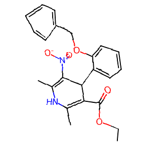 CCOC(=O)C1=C(C)NC(C)=C([N+](=O)[O-])C1c1ccccc1OCc1ccccc1